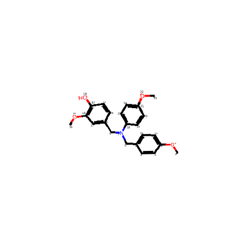 COc1ccc(CN(Cc2ccc(O)c(OC)c2)c2ccc(OC)cc2)cc1